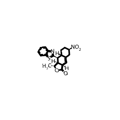 C[C@H]1OC(=O)[C@@H]2C=C3C[C@H]([N+](=O)[O-])CC[C@H]3[C@H](c3nc4ccccc4s3)[C@H]12